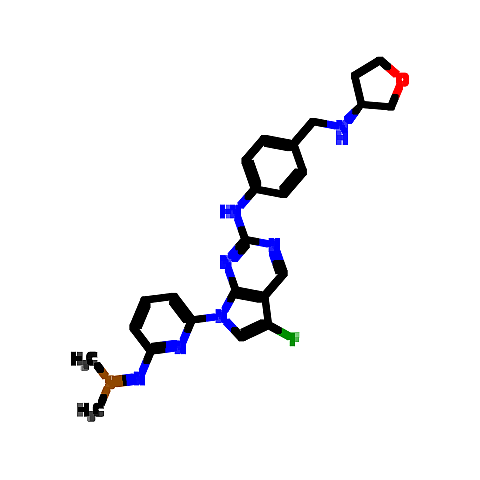 CS(C)=Nc1cccc(-n2cc(F)c3cnc(Nc4ccc(CN[C@H]5CCOC5)cc4)nc32)n1